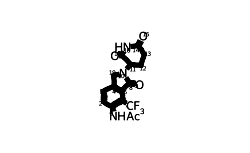 CC(=O)Nc1ccc2c(c1C(F)(F)F)C(=O)N(C1CCC(=O)NC1=O)C2